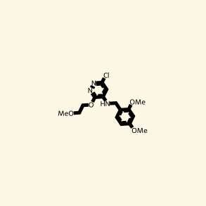 COCCOc1nnc(Cl)cc1NCc1ccc(OC)cc1OC